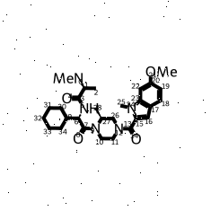 CN[C@@H](C)C(=O)N[C@H](C(=O)N1CCN(C(=O)c2cc3ccc(OC)cc3n2C)C[C@@H]1C)C1CCCCC1